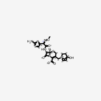 CO/N=C(\C(=O)N[C@@H]1C(=O)N2C(C(=O)[O-])=C(C[N+]34CCC(O)(CC3)C4)CS[C@@H]12)c1csc(N)n1